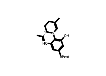 C=C(C)[C@@H]1CCC(C)=CN1c1c(O)cc(CCCCC)cc1O